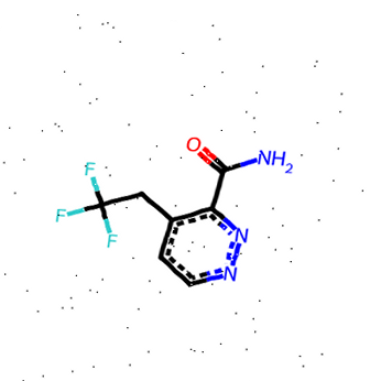 NC(=O)c1nnccc1CC(F)(F)F